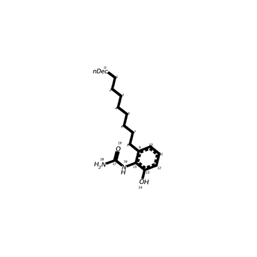 CCCCCCCCCCCCCCCCCCc1cccc(O)c1NC(N)=O